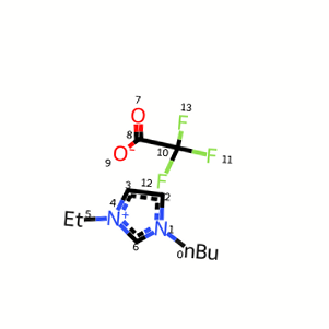 CCCCn1cc[n+](CC)c1.O=C([O-])C(F)(F)F